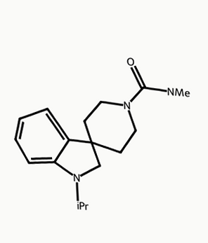 CNC(=O)N1CCC2(CC1)CN(C(C)C)c1ccccc12